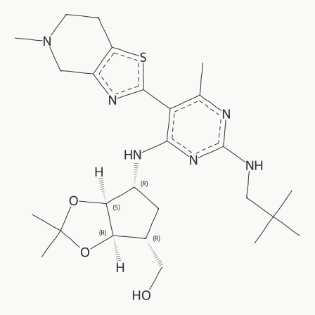 Cc1nc(NCC(C)(C)C)nc(N[C@@H]2C[C@H](CO)[C@H]3OC(C)(C)O[C@H]32)c1-c1nc2c(s1)CCN(C)C2